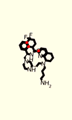 NCCCCN(CC[C@H]1CN(C[C@H](NC(=O)C2CCC(F)(F)CC2)c2ccccc2)CCN1)[C@H]1CCCc2cccnc21